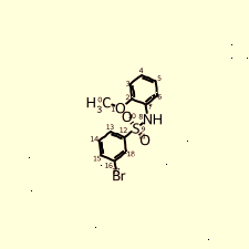 COc1ccccc1NS(=O)(=O)c1cccc(Br)c1